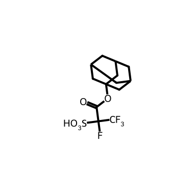 O=C(OC12CC3CC(CC(C3)C1)C2)C(F)(C(F)(F)F)S(=O)(=O)O